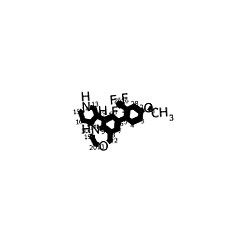 COc1ccc(-c2cc3c4c(c2)[C@H]2CNCC[C@H]2N4CCOC3)c(C(F)(F)F)c1